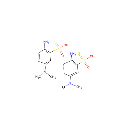 CN(C)c1ccc(N)c(S(=O)(O)=S)c1.CN(C)c1ccc(N)c(S(=O)(O)=S)c1